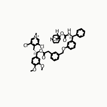 COc1ccc([C@H](Cc2c(Cl)c[n+](C)cc2Cl)OC(=O)Cc2cccc(COc3cccc([C@@H](NC(=O)O[C@H]4CN5CCC4CC5)c4ccccc4)c3)c2)cc1OC